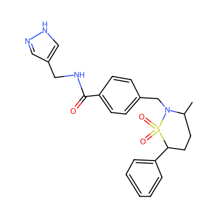 CC1CCC(c2ccccc2)S(=O)(=O)N1Cc1ccc(C(=O)NCc2cn[nH]c2)cc1